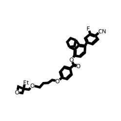 CCC1(COCCCCOc2ccc(C(=O)Oc3ccc(-c4ccc(C#N)c(F)c4)c4c3C3CCC4C3)cc2)COC1